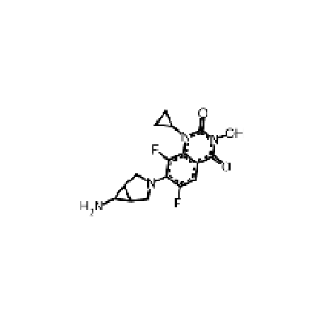 NC1C2CN(c3c(F)cc4c(=O)n(O)c(=O)n(C5CC5)c4c3F)CC12